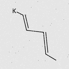 CC=CC=[CH][K]